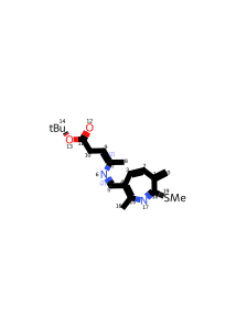 C=C1C=CC(/C=N\C(C)=C/CC(=O)OC(C)(C)C)=C(C)N=C1SC